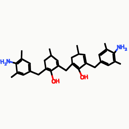 Cc1cc(CC2=CC(C)CC(CC3=CC(C)CC(Cc4cc(C)c(N)c(C)c4)=C3O)=C2O)cc(C)c1N